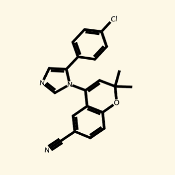 CC1(C)C=C(n2cncc2-c2ccc(Cl)cc2)c2cc(C#N)ccc2O1